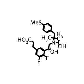 CSc1ccc(CC(C)(C)NC[C@@H](O)c2cc(CCC(=O)O)cc(F)c2F)cc1.Cl